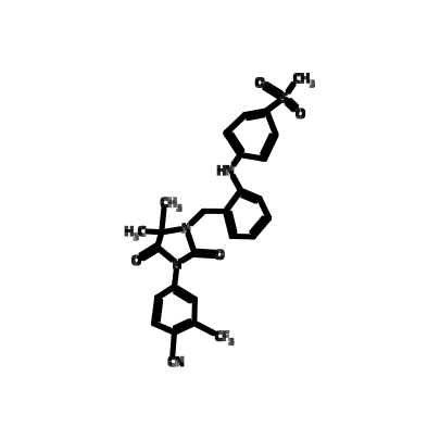 CC1(C)C(=O)N(c2ccc(C#N)c(C(F)(F)F)c2)C(=O)N1Cc1ccccc1Nc1ccc(S(C)(=O)=O)cc1